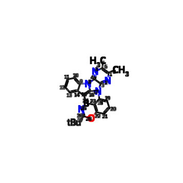 Cc1nc2c(nc1C)n1c3ccccc3c3c1n2-c1cccc2c1B3N=C(C(C)(C)C)O2